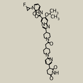 CC(C)Oc1cc2nc(C3CCN(C(=O)CC4CCN(c5ccc(C6CCC(=O)NC6=O)cn5)CC4)CC3)cn2cc1C(=O)Nc1cccn([C@H]2C[C@H]2F)c1=O